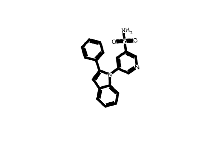 NS(=O)(=O)c1cncc(-n2c(-c3ccccc3)cc3ccccc32)c1